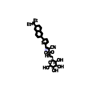 CCN(CC)c1ccc2cc(-c3ccc(/C=C(\C#N)S(=O)(=O)NC[C@H]4OC(O)[C@H](O)[C@@H](O)[C@@H]4O)s3)ccc2c1